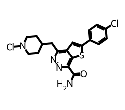 NC(=O)c1nnc(CC2CCN(Cl)CC2)c2cc(-c3ccc(Cl)cc3)sc12